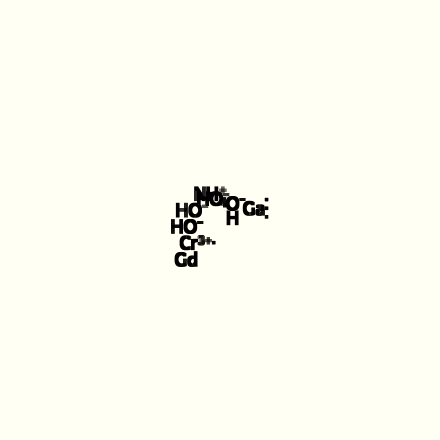 [Cr+3].[Ga].[Gd].[NH4+].[OH-].[OH-].[OH-].[OH-]